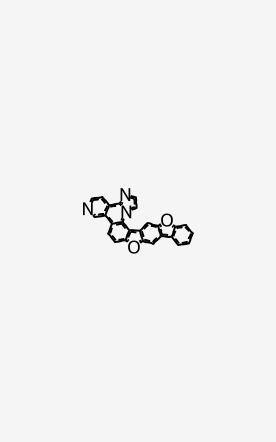 c1ccc2c(c1)oc1cc3c(cc12)oc1ccc2c4cnccc4c4nccn4c2c13